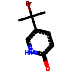 CC(C)(Br)c1ccc(=O)[nH]c1